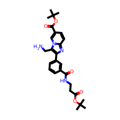 CC(C)(C)OC(=O)CCNC(=O)c1cccc(-c2nc3ccc(C(=O)OC(C)(C)C)cn3c2CN)c1